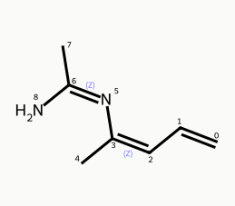 C=C/C=C(C)\N=C(\C)N